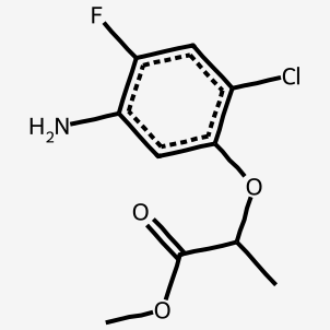 COC(=O)C(C)Oc1cc(N)c(F)cc1Cl